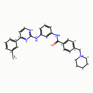 O=C(Nc1cccc(Nc2nccc(-c3cccc(C(F)(F)F)c3)n2)c1)c1ccc(CN2CCCCC2)cc1